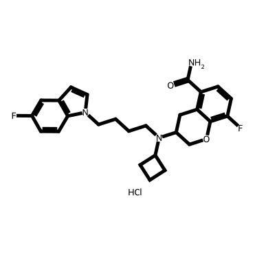 Cl.NC(=O)c1ccc(F)c2c1CC(N(CCCCn1ccc3cc(F)ccc31)C1CCC1)CO2